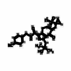 CCS(=O)(=O)C1(CN2CCc3c(C(=O)NCc4ccc(C#N)cc4)nn(CC(C)(C)O)c3C2=O)CC1